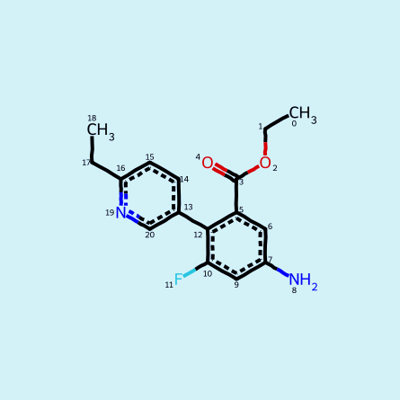 CCOC(=O)c1cc(N)cc(F)c1-c1ccc(CC)nc1